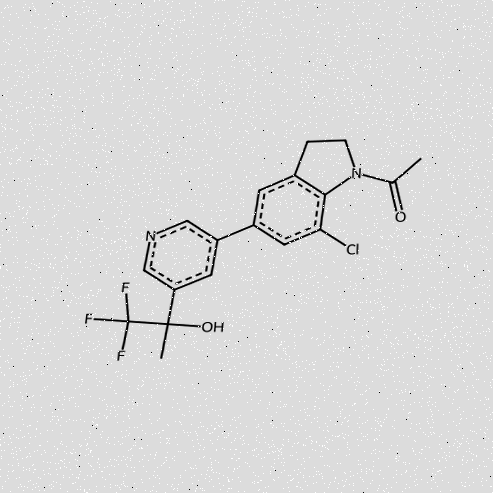 CC(=O)N1CCc2cc(-c3cncc(C(C)(O)C(F)(F)F)c3)cc(Cl)c21